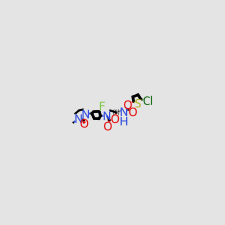 CN1CCCN(c2ccc(N3C[C@H](CNC(=O)Oc4ccc(Cl)s4)OC3=O)c(F)c2)C1=O